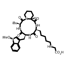 CCC(C)[C@@H]1NC(=O)[C@H](Cc2cn(OC)c3ccccc23)NC(=O)[C@H](CCCCCNCC(=O)O)NC(=O)[C@H]2CCCCN2C1=O